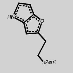 CCCCCCCc1cc2[nH]ccc2o1